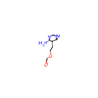 Nc1ncncc1CCOC=O